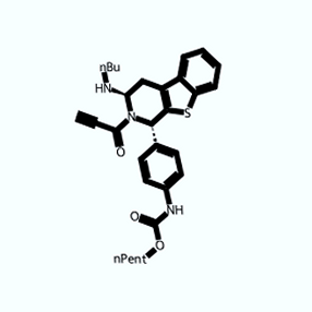 C#CC(=O)N1[C@@H](c2ccc(NC(=O)OCCCCC)cc2)c2sc3ccccc3c2C[C@@H]1NCCCC